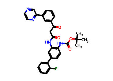 CC(C)(C)OC(=O)Nc1ccc(-c2ccccc2F)cc1NC(=O)CC(=O)c1cccc(-c2cnccn2)c1